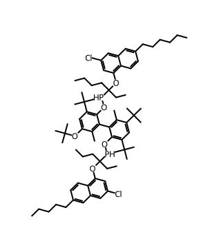 CCCCCCc1ccc2c(OC(CC)(CCCC)POc3c(C(C)(C)C)cc(OC(C)(C)C)c(C)c3-c3c(C)c(C(C)(C)C)cc(C(C)(C)C)c3OPC(CC)(CCC)Oc3cc(Cl)cc4cc(CCCCC)ccc34)cc(Cl)cc2c1